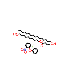 CCCC(=O)OCCCCCCCCCCO.CCCCCCCCCCCCCCCCO.O=[N+]([O-])c1ccccc1Oc1ccccc1F